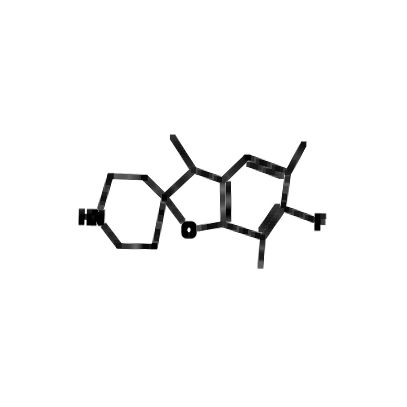 Cc1cc2c(c(C)c1F)OC1(CCNCC1)C2C